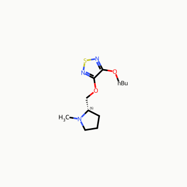 CCCCOc1nsnc1OC[C@@H]1CCCN1C